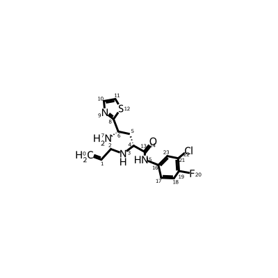 C=CCN[C@H](C[C@H](N)c1nccs1)C(=O)Nc1ccc(F)c(Cl)c1